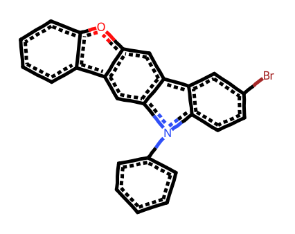 Brc1ccc2c(c1)c1cc3oc4ccccc4c3cc1n2-c1ccccc1